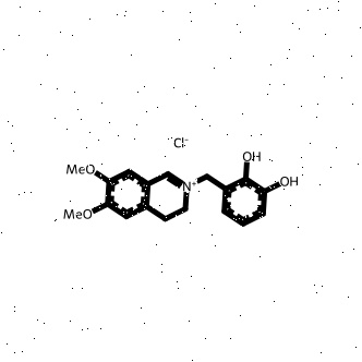 COc1cc2c(cc1OC)CC[N+](Cc1cccc(O)c1O)=C2.[Cl-]